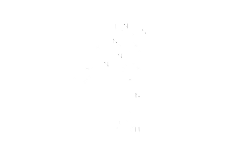 CC(C(=O)O)C1CCN(Cc2ccc(-n3c(-c4cccnc4N)nc4ccc(-c5ccccc5)nc43)cc2)CC1